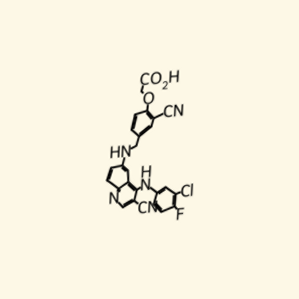 N#Cc1cc(CNc2ccc3ncc(C#N)c(Nc4ccc(F)c(Cl)c4)c3c2)ccc1OCC(=O)O